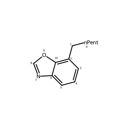 [CH2]CCCCCc1cccc2ncoc12